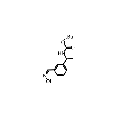 C[C@H](NC(=O)OC(C)(C)C)c1cccc(/C=N\O)c1